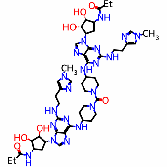 CCC(=O)N[C@H]1C[C@@H](n2cnc3c(NC4CCN(C(=O)N5CCC(Nc6nc(NCCc7cn(C)cn7)nc7c6ncn7[C@@H]6C[C@H](NC(=O)CC)[C@@H](O)[C@H]6O)CC5)CC4)nc(NCCc4cn(C)cn4)nc32)[C@H](O)[C@@H]1O